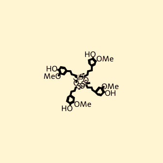 COc1cc(CCC[Si]2(C)C[Si](C)(CCCc3ccc(O)c(OC)c3)O[Si](C)(CCCc3ccc(O)c(OC)c3)O[Si](C)(CCCc3ccc(O)c(OC)c3)O2)ccc1O